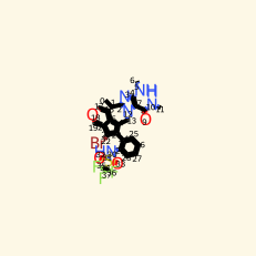 CCc1nc(NC)c(C(=O)NC)n1Cc1c2ccocc-2c(Br)c1-c1ccccc1NS(=O)(=O)C(F)(F)F